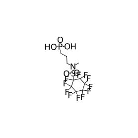 CN(CCCP(=O)(O)O)S(=O)(=O)C1(F)C(F)(F)C(F)(F)C(F)(F)C(F)(F)C1(F)F